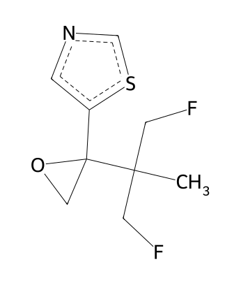 CC(CF)(CF)C1(c2cncs2)CO1